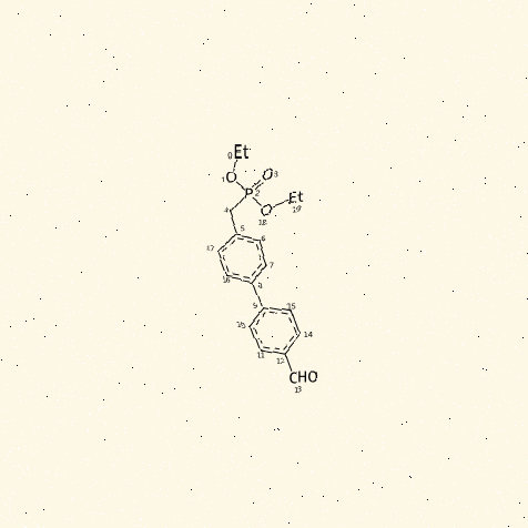 CCOP(=O)(Cc1ccc(-c2ccc(C=O)cc2)cc1)OCC